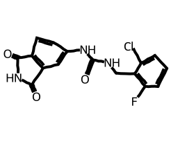 O=C(NCc1c(F)cccc1Cl)Nc1ccc2c(c1)C(=O)NC2=O